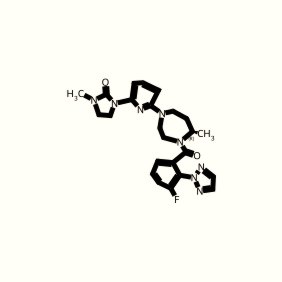 C[C@@H]1CCN(c2cccc(N3CCN(C)C3=O)n2)CCN1C(=O)c1cccc(F)c1-n1nccn1